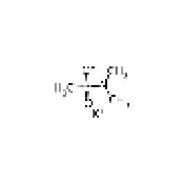 CN(C)P(C)(=O)[O-].[K+]